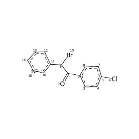 O=C(c1ccc(Cl)cc1)C(Br)c1cccnc1